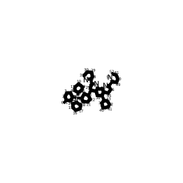 Cc1cccc([Si](c2ccccc2)(c2ccccc2)c2cccc(-c3cc(-c4ccccn4)nc4c3cc(-c3ccccc3)c3ccc(-c5ccccn5)nc34)c2)c1